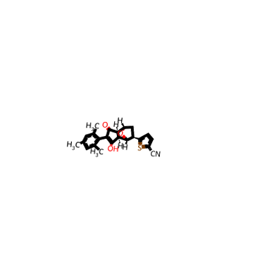 Cc1cc(C)c(C2=C(O)[C@@H]3[C@@H]4O[C@@H](C[C@H]4c4ccc(C#N)s4)[C@@H]3C2=O)c(C)c1